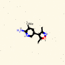 COc1cc(-c2c(C)noc2C)cnc1N